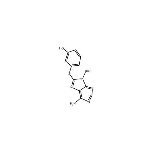 CCCCn1c(Sc2cccc(O)c2)nc2c(N)ncnc21